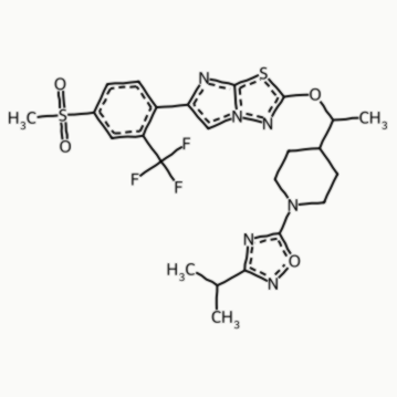 CC(C)c1noc(N2CCC(C(C)Oc3nn4cc(-c5ccc(S(C)(=O)=O)cc5C(F)(F)F)nc4s3)CC2)n1